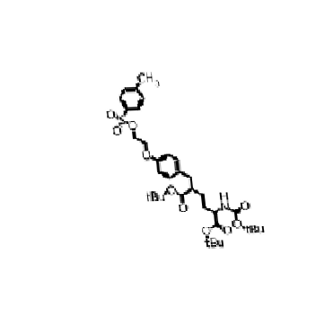 Cc1ccc(S(=O)(=O)OCCOc2ccc(CC(CCC(NC(=O)OC(C)(C)C)C(=O)OC(C)(C)C)C(=O)OC(C)(C)C)cc2)cc1